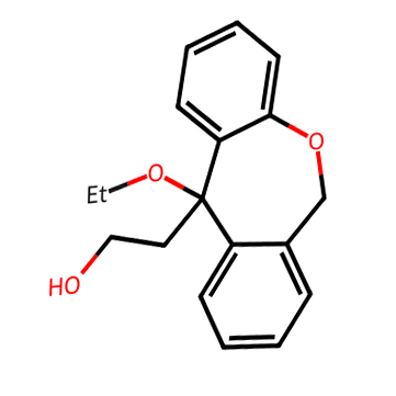 CCOC1(CCO)c2ccccc2COc2ccccc21